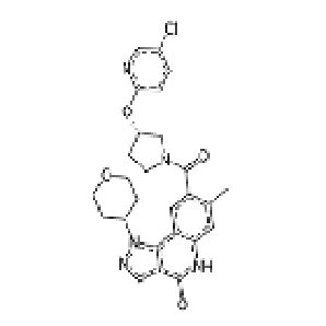 Cc1cc2[nH]c(=O)c3cnn(C4CCOCC4)c3c2cc1C(=O)N1CC[C@H](Oc2ccc(Cl)cn2)C1